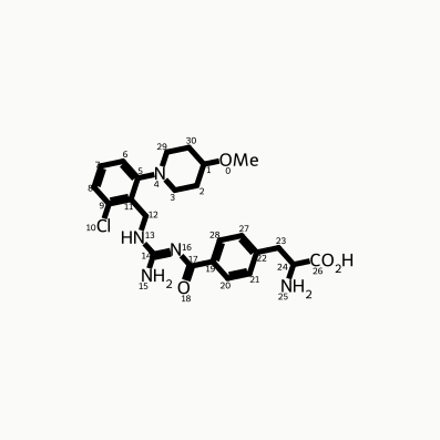 COC1CCN(c2cccc(Cl)c2CNC(N)=NC(=O)c2ccc(CC(N)C(=O)O)cc2)CC1